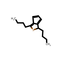 CCCC[C]1SC(CCCC)=C2C=CC=C12